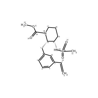 C=Cc1cccc(C[C@H]2[C@@H](NS(C)(=O)=O)CCCN2C(=O)OC)c1